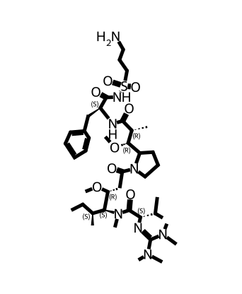 CC[C@H](C)[C@@H]([C@@H](CC(=O)N1CCCC1[C@H](OC)[C@@H](C)C(=O)N[C@@H](Cc1ccccc1)C(=O)NS(=O)(=O)CCCN)OC)N(C)C(=O)[C@@H](N=C(N(C)C)N(C)C)C(C)C